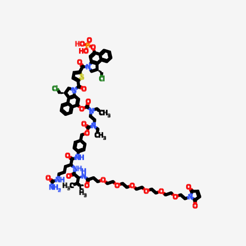 CCN(CCN(CC)C(=O)Oc1cc2c(c3ccccc13)[C@H](CCl)CN2C(=O)c1ccc(C(=O)N2C[C@@H](CCl)c3c2cc(OP(=O)(O)O)c2ccccc32)s1)C(=O)OCC1C=CC(NC(=O)C(CCCNC(N)=O)NC(=O)[C@@H](NC(=O)CCOCCOCCOCCOCCOCCOCCN2C(=O)C=CC2=O)C(C)C)=CC1